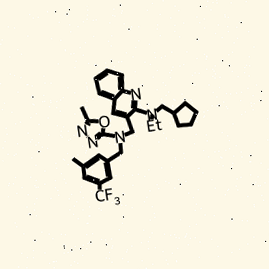 CCN(CC1CCCC1)c1nc2ccccc2cc1CN(Cc1cc(C)cc(C(F)(F)F)c1)c1nnc(C)o1